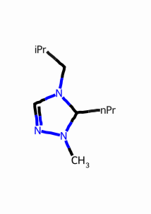 CCCC1N(CC(C)C)C=NN1C